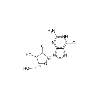 Nc1nc2c(ncn2[C@@H]2O[C@H](CO)C(O)C2Cl)c(=O)[nH]1